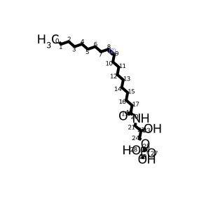 CCCCCCCC/C=C\CCCCCCCCC(=O)NCC(O)COP(=O)(O)O